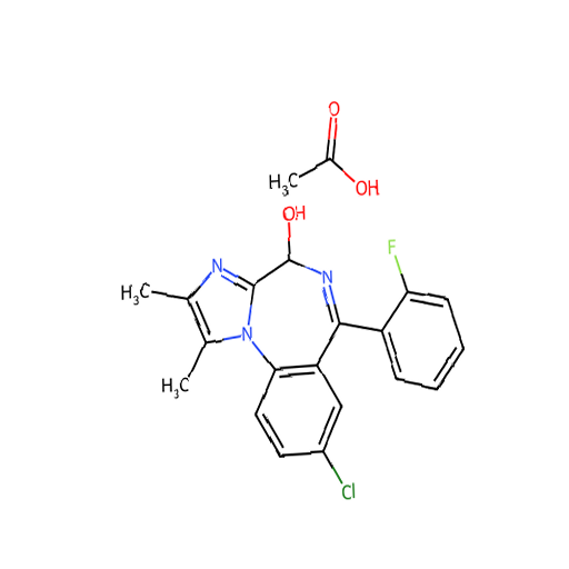 CC(=O)O.Cc1nc2n(c1C)-c1ccc(Cl)cc1C(c1ccccc1F)=NC2O